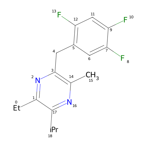 CCc1nc(Cc2cc(F)c(F)cc2F)c(C)nc1C(C)C